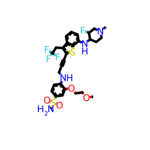 COCCOc1cc(S(N)(=O)=O)ccc1NCC#Cc1sc2c(NC3CCN(C)CC3F)cccc2c1CC(F)(F)F